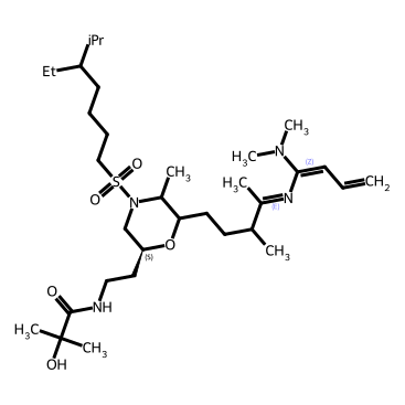 C=C/C=C(\N=C(/C)C(C)CCC1O[C@@H](CCNC(=O)C(C)(C)O)CN(S(=O)(=O)CCCCC(CC)C(C)C)C1C)N(C)C